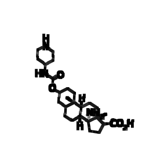 C[C@]12CCC(OC(=O)NC3CCNCC3)CC1CC[C@@H]1[C@H]2CC[C@]2(C)C(C(=O)O)CC[C@@]12N